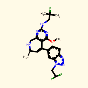 COc1nc(NCC(C)(C)F)nc2c1C(c1ccc3nnn(CC(F)F)c3c1)=C[C@@H](C)NC2